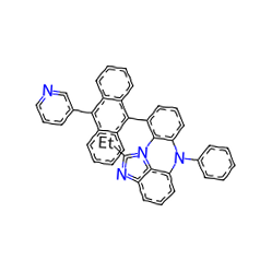 CCc1nc2cccc3c2n1-c1c(-c2c4ccccc4c(-c4cccnc4)c4ccccc24)cccc1N3c1ccccc1